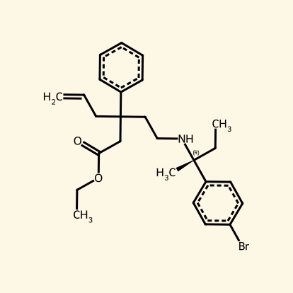 C=CCC(CCN[C@](C)(CC)c1ccc(Br)cc1)(CC(=O)OCC)c1ccccc1